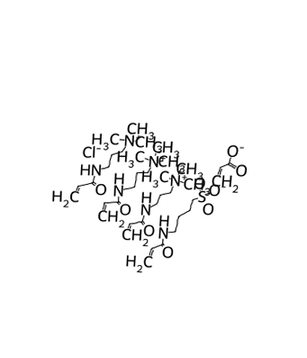 C=CC(=O)NCCCCS(=O)(=O)[O-].C=CC(=O)NCCC[N+](C)(C)C.C=CC(=O)NCCC[N+](C)(C)C.C=CC(=O)NCCC[N+](C)(C)C.C=CC(=O)[O-].[Cl-]